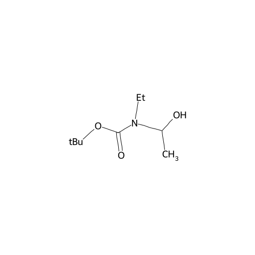 CCN(C(=O)OC(C)(C)C)C(C)O